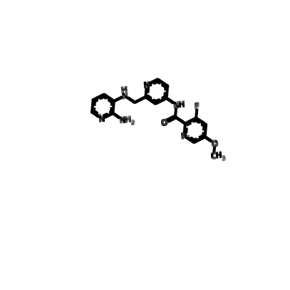 COc1cnc(C(=O)Nc2ccnc(CNc3cccnc3N)c2)c(F)c1